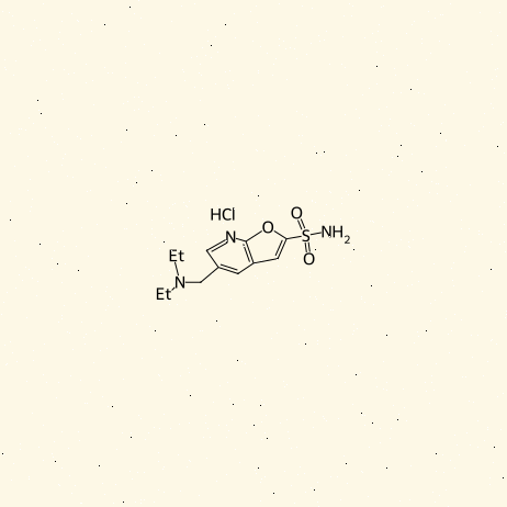 CCN(CC)Cc1cnc2oc(S(N)(=O)=O)cc2c1.Cl